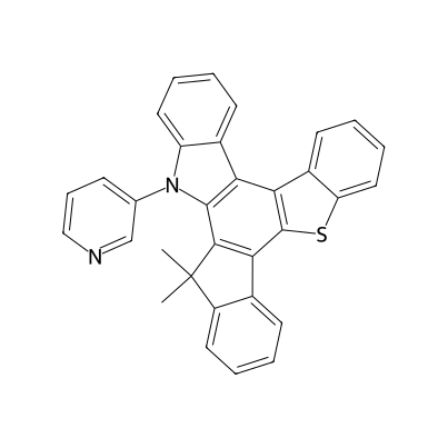 CC1(C)c2ccccc2-c2c1c1c(c3ccccc3n1-c1cccnc1)c1c2sc2ccccc21